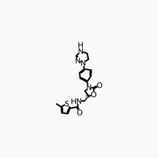 Cc1ccc(C(=O)NC[C@H]2CN(c3ccc(N4CCNC=N4)cc3)C(=O)O2)s1